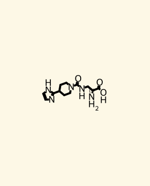 N[C@@H](CNC(=O)N1CCC(c2ncc[nH]2)CC1)C(=O)O